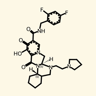 O=C(NCc1ccc(F)cc1F)c1cn2c(c(O)c1=O)C(=O)N1[C@H]3CCCCC3CN(CCN3CCCC3)[C@@H]1C2